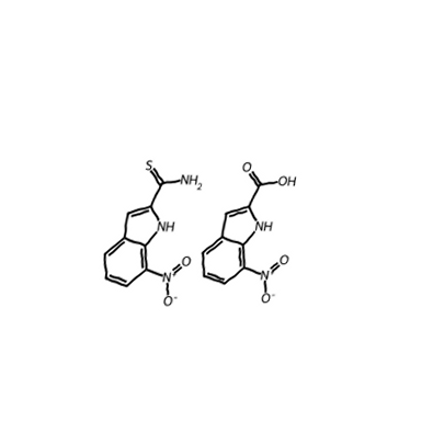 NC(=S)c1cc2cccc([N+](=O)[O-])c2[nH]1.O=C(O)c1cc2cccc([N+](=O)[O-])c2[nH]1